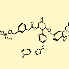 COCCCN1CCOc2ccc(COC3CNCC(OC(=O)Cc4cccc(CON(O)O)c4)C3c3ccc(OC4CCN(c5cccc(F)c5)C4)cc3)cc21